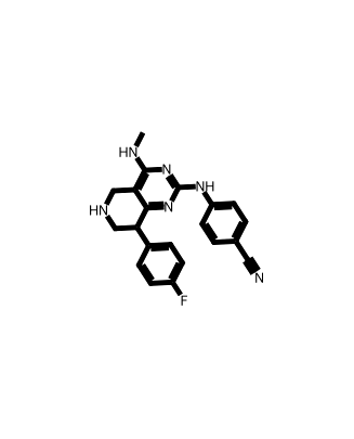 CNc1nc(Nc2ccc(C#N)cc2)nc2c1CNCC2c1ccc(F)cc1